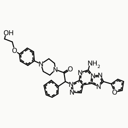 Nc1nc2c(cnn2C(C(=O)N2CCN(c3ccc(OCCO)cc3)CC2)c2ccccc2)c2nc(-c3ccco3)nn12